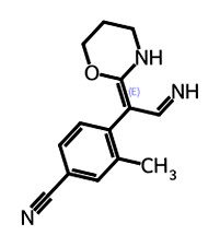 Cc1cc(C#N)ccc1/C(C=N)=C1/NCCCO1